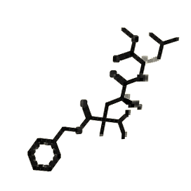 COC(=O)[C@H](CC(C)C)NC(=O)[C@@H](N)CC(C)(C(=O)OCc1ccccc1)C(F)F